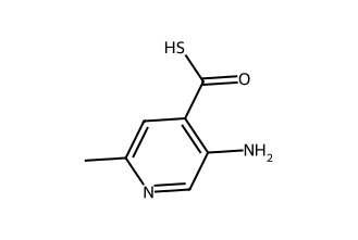 Cc1cc(C(=O)S)c(N)cn1